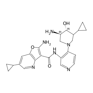 Nc1oc2cc(C3CC3)cnc2c1C(=O)Nc1cnccc1N1CC(C2CC2)[C@@H](O)[C@H](N)C1